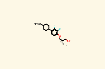 CCCCCC1CCC(c2ccc(OC[C@@H](C)CO)c(F)c2F)CC1